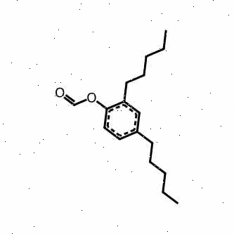 CCCCCc1ccc(OC=O)c(CCCCC)c1